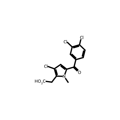 Cn1c(C(=O)c2ccc(Cl)c(Cl)c2)cc(Cl)c1CC(=O)O